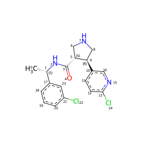 C[C@H](NC(=O)[C@@H]1CNC[C@H]1c1ccc(Cl)nc1)c1cccc(Cl)c1